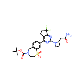 CC(C)(C)OC(=O)N1CCS(=O)(=O)c2cc(-c3nc(N4CCC4CC(N)=O)nc4c3CCC4(F)F)ccc2C1